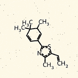 C=Cc1sc(C2=CC(C)C(C)(C)C=C2)nc1C